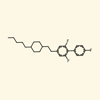 CCCCCC1CCC(CCc2cc(F)c(-c3ccc(F)cc3)c(F)c2)CC1